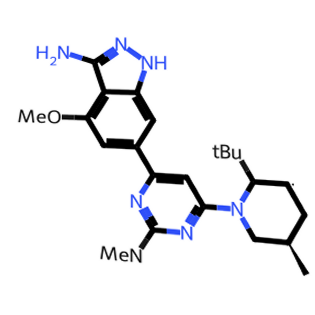 CNc1nc(-c2cc(OC)c3c(N)n[nH]c3c2)cc(N2C[C@H](C)C[CH]C2C(C)(C)C)n1